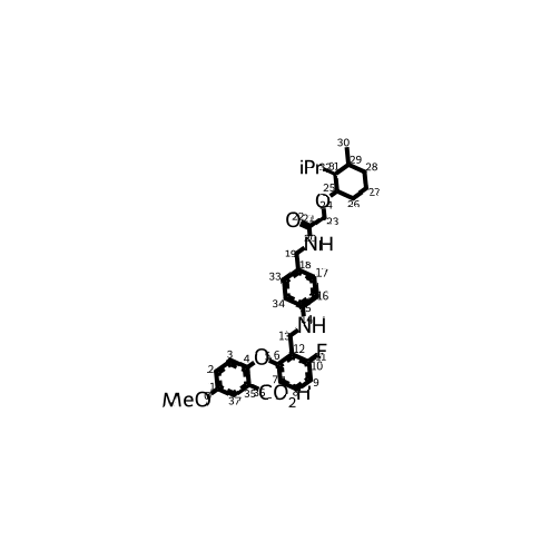 COc1ccc(Oc2cccc(F)c2CNc2ccc(CNC(=O)COC3CCCC(C)C3C(C)C)cc2)c(C(=O)O)c1